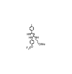 COCCCN/C(=N/C(=N)c1ccc(C)cc1)Nc1ccc(OC(F)(F)F)cc1